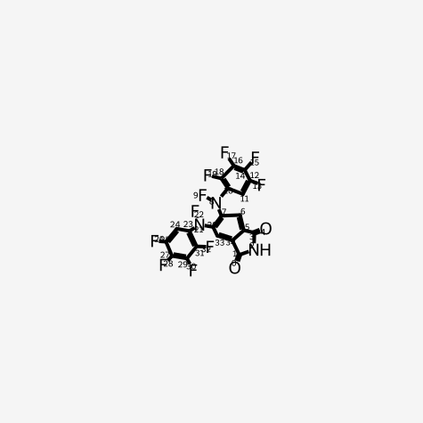 O=C1NC(=O)c2cc(N(F)c3cc(F)c(F)c(F)c3F)c(N(F)c3cc(F)c(F)c(F)c3F)cc21